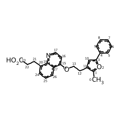 Cc1oc(-c2ccccc2)cc1CCOc1ccnc2c(CCC(=O)O)cccc12